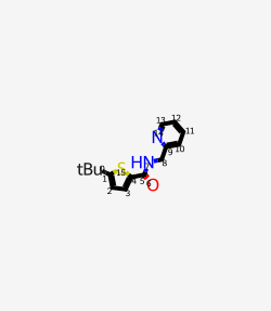 CC(C)(C)c1ccc(C(=O)NCc2ccccn2)s1